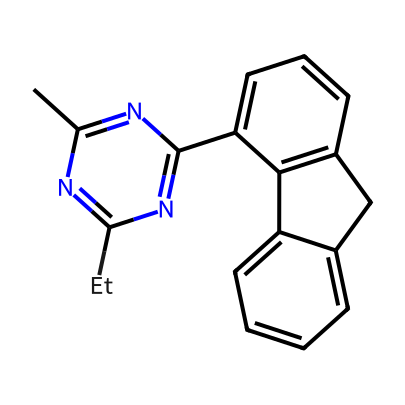 CCc1nc(C)nc(-c2cccc3c2-c2ccccc2C3)n1